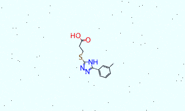 Cc1cccc(-c2nnc(SCCC(=O)O)[nH]2)c1